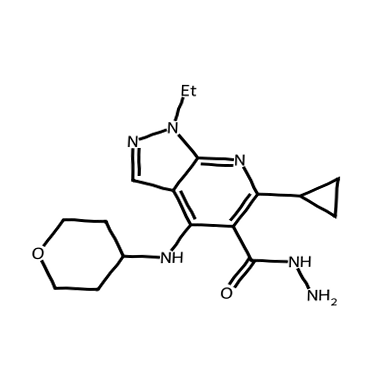 CCn1ncc2c(NC3CCOCC3)c(C(=O)NN)c(C3CC3)nc21